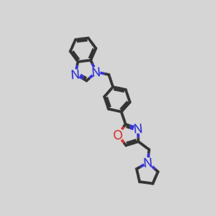 c1ccc2c(c1)ncn2Cc1ccc(-c2nc(CN3CCCC3)co2)cc1